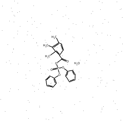 Cc1ccc(C(=O)OP(=O)(Oc2ccccc2)Oc2ccccc2)c(C)c1C.O